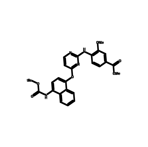 COC(=O)c1ccc(Nc2nccc(Oc3ccc(NC(=O)OC(C)(C)C)c4ccccc34)n2)c(OC)c1